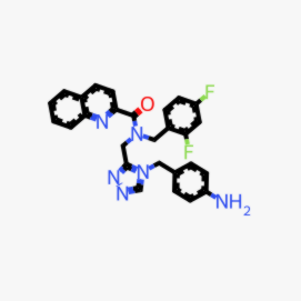 Nc1ccc(Cn2cnnc2CN(Cc2ccc(F)cc2F)C(=O)c2ccc3ccccc3n2)cc1